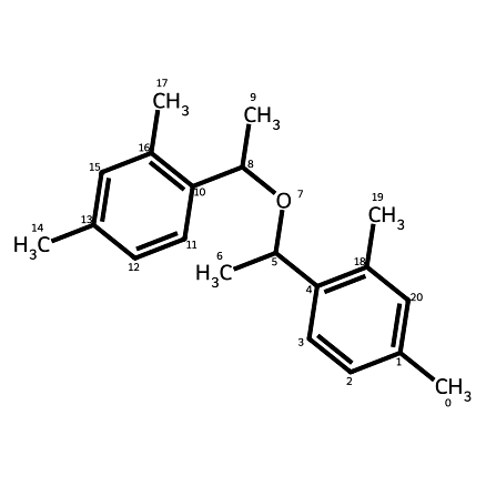 Cc1ccc(C(C)OC(C)c2ccc(C)cc2C)c(C)c1